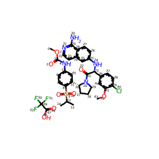 COC(=O)Nc1ccc(S(=O)(=O)C(C)C)c([C@H]2CCCN2C(=O)[C@@H](Nc2ccc3c(N)nccc3c2)c2ccc(Cl)c(OC)c2)c1.O=C(O)C(F)(F)F